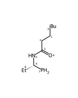 CCC(C)CCC(=O)N[C@H](P)CC